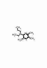 CCCN(CC)c1nc(C)c(C)cc1C